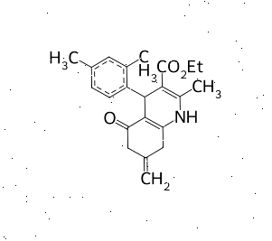 C=C1CC(=O)C2=C(C1)NC(C)=C(C(=O)OCC)C2c1ccc(C)cc1C